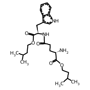 CC(C)CCOC(=O)[C@@H](N)CCC(=O)N[C@H](Cc1c[nH]c2ccccc12)C(=O)OCCC(C)C